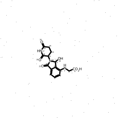 O=C(O)CNc1cccc2c1C(O)N(C1CCC(=O)NC1=O)C2=O